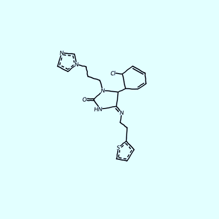 O=C1N/C(=N\CCc2cccs2)C(C2C=CC=CC2Cl)N1CCCn1ccnc1